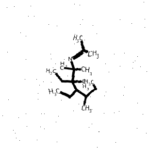 CCC(C)C(CC)C(C)(CC)C(C)(C)N=C(C)C